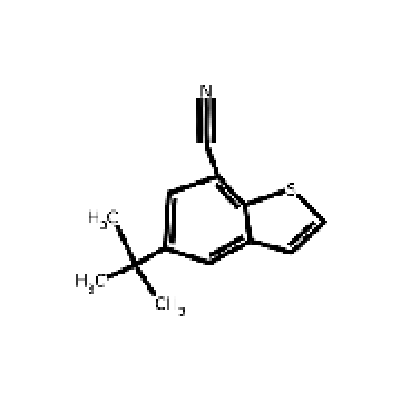 CC(C)(C)c1cc(C#N)c2sccc2c1